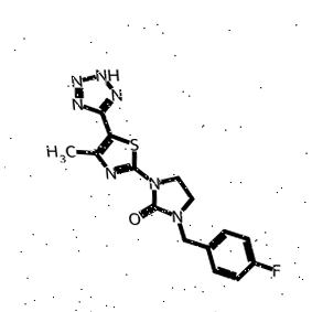 Cc1nc(N2CCN(Cc3ccc(F)cc3)C2=O)sc1-c1nn[nH]n1